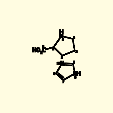 O=C(O)C1CCCN1.c1c[nH]cn1